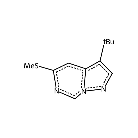 CSc1cc2c(C(C)(C)C)cnn2cn1